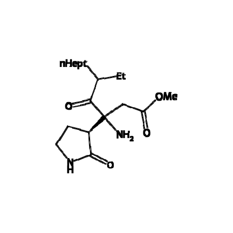 CCCCCCCC(CC)C(=O)C(N)(CC(=O)OC)[C@@H]1CCNC1=O